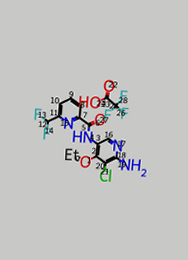 CCOc1c(NC(=O)c2cccc(C(F)F)n2)cnc(N)c1Cl.O=C(O)C(F)(F)F